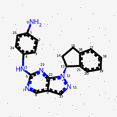 Nc1ccc(Nc2ncc3cnn([C@H]4CCc5ccccc54)c3n2)cc1